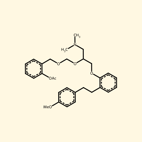 COc1ccc(CCc2ccccc2OCC(CN(C)C)OCOCc2ccccc2OC(C)=O)cc1